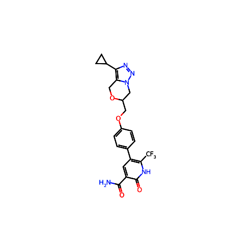 NC(=O)c1cc(-c2ccc(OCC3Cn4nnc(C5CC5)c4CO3)cc2)c(C(F)(F)F)[nH]c1=O